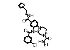 CCNC(=O)N1CCCN(c2ccc(C(=O)NCCc3cccs3)cc2NC(=O)c2cccc(Cl)c2)CC1